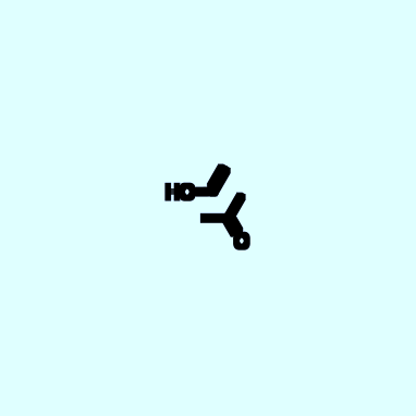 C=CO.CC(C)=O